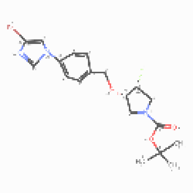 CC(C)(C)OC(=O)N1C[C@@H](F)[C@@H](OCc2ccc(-n3cnc(Br)c3)cc2)C1